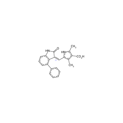 Cc1[nH]c(/C=C2\C(=O)Nc3cccc(-c4ccccc4)c32)c(C)c1C(=O)O